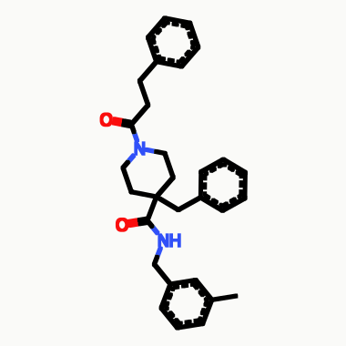 Cc1cccc(CNC(=O)C2(Cc3ccccc3)CCN(C(=O)CCc3ccccc3)CC2)c1